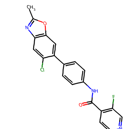 Cc1nc2cc(Cl)c(-c3ccc(NC(=O)c4ccncc4F)cc3)cc2o1